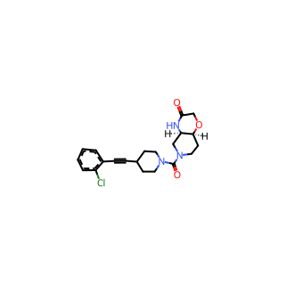 O=C1CO[C@H]2CCN(C(=O)N3CCC(C#Cc4ccccc4Cl)CC3)C[C@H]2N1